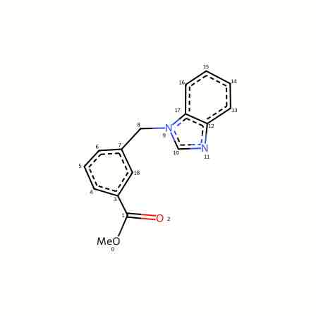 COC(=O)c1cccc(Cn2cnc3ccccc32)c1